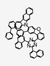 c1ccc(-c2ccccc2-c2cccc(-c3cc4c(cc3-n3c5ccccc5c5cc6ccccc6cc53)oc3cccc(-c5nc(-c6cccc7ccccc67)nc(-c6cccc7ccccc67)n5)c34)c2)cc1